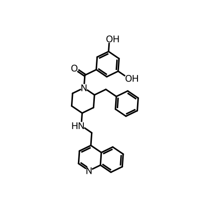 O=C(c1cc(O)cc(O)c1)N1CCC(NCc2ccnc3ccccc23)CC1Cc1ccccc1